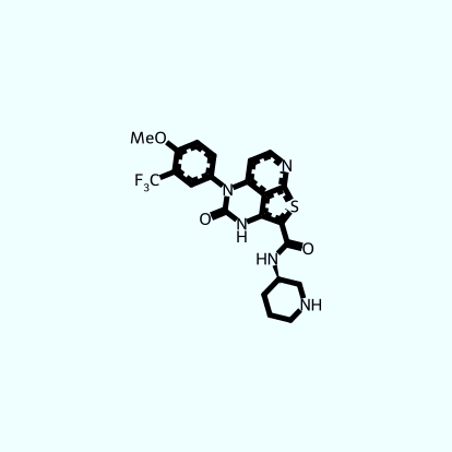 COc1ccc(N2C(=O)Nc3c(C(=O)N[C@@H]4CCCNC4)sc4nccc2c34)cc1C(F)(F)F